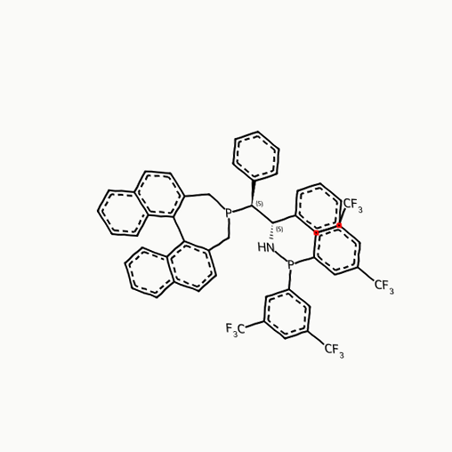 FC(F)(F)c1cc(P(N[C@@H](c2ccccc2)[C@H](c2ccccc2)P2Cc3ccc4ccccc4c3-c3c(ccc4ccccc34)C2)c2cc(C(F)(F)F)cc(C(F)(F)F)c2)cc(C(F)(F)F)c1